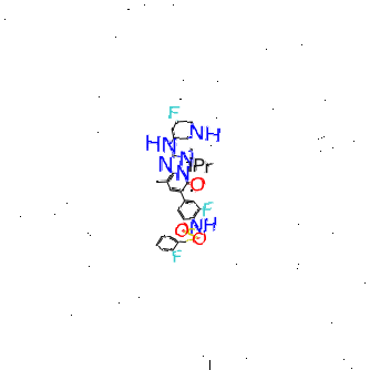 C=N/C(=N\c1c(C)cc(-c2ccc(NS(=O)(=O)Cc3ccccc3F)c(F)c2)c(=O)n1C(C)C)N[C@@H]1CNC[C@@H](F)C1